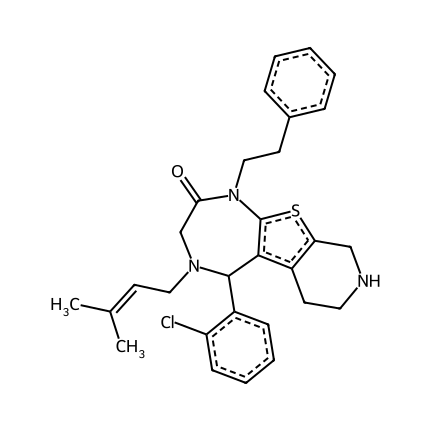 CC(C)=CCN1CC(=O)N(CCc2ccccc2)c2sc3c(c2C1c1ccccc1Cl)CCNC3